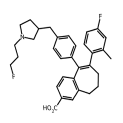 Cc1cc(F)ccc1C1=C(c2ccc(CC3CCN(CCCF)C3)cc2)c2ccc(C(=O)O)cc2CCC1